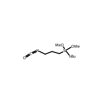 CCCC[Si](CCCN=C=O)(OC)OC